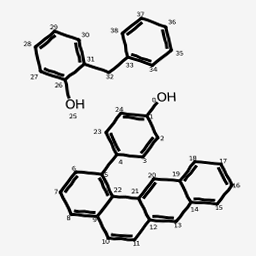 Oc1ccc(-c2cccc3ccc4cc5ccccc5cc4c23)cc1.Oc1ccccc1Cc1ccccc1